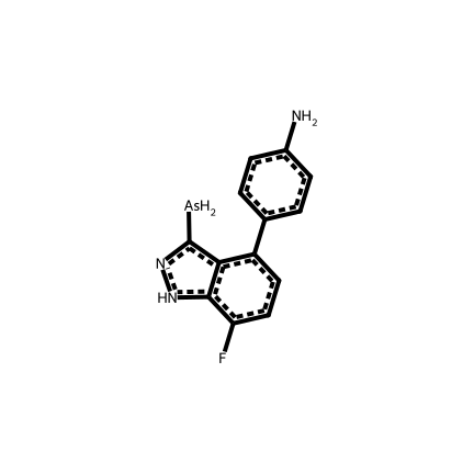 Nc1ccc(-c2ccc(F)c3[nH]nc([AsH2])c23)cc1